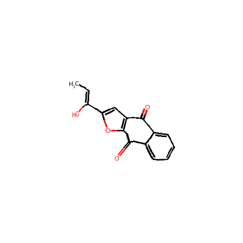 C/C=C(\O)c1cc2c(o1)C(=O)c1ccccc1C2=O